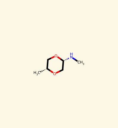 CN[C@@H]1CO[C@H](C)CO1